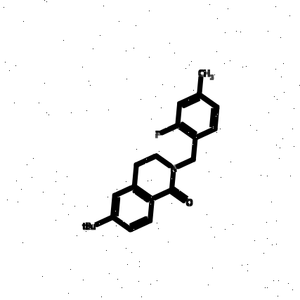 Cc1ccc(CN2CCc3cc(C(C)(C)C)ccc3C2=O)c(F)c1